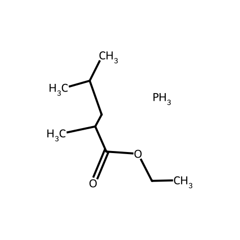 CCOC(=O)C(C)CC(C)C.P